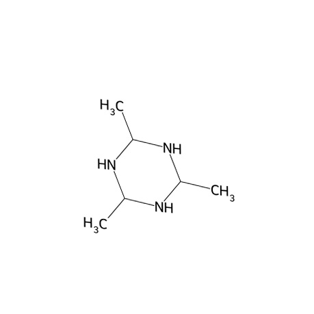 CC1NC(C)NC(C)N1